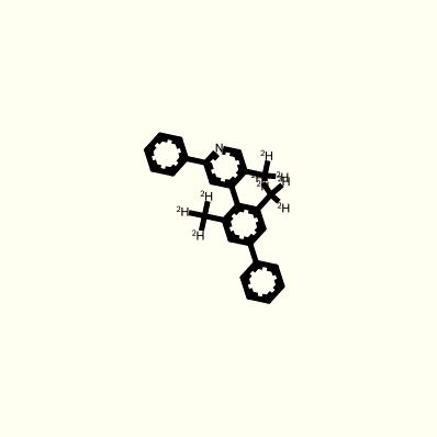 [2H]C([2H])([2H])c1cnc(-c2ccccc2)cc1-c1c(C([2H])([2H])[2H])cc(-c2ccccc2)cc1C([2H])([2H])[2H]